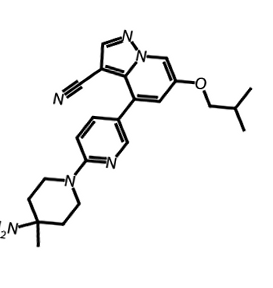 CC(C)COc1cc(-c2ccc(N3CCC(C)(N)CC3)nc2)c2c(C#N)cnn2c1